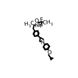 CC(Cc1ccc(C2CN(c3ccc(OCC4CC4)cc3)C2)cc1)NC(=O)C(C)(F)F